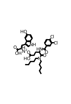 CCCCCN(CCCCC)C(=O)C(CCC(=O)O)NC(=O)c1ccc(Cl)c(Cl)c1.N[C@@H](Cc1c[nH]c2ccc(O)cc12)C(=O)O